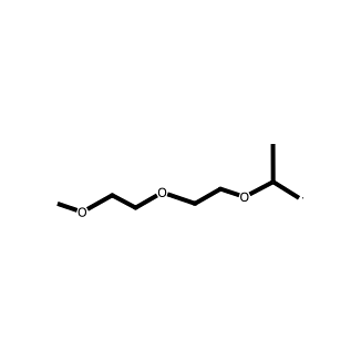 [CH2]C(C)OCCOCCOC